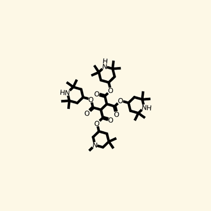 CN1CC(OC(=O)C(C(=O)OC2CC(C)(C)NC(C)(C)C2)C(C(=O)OC2CC(C)(C)NC(C)(C)C2)C(=O)OC2CC(C)(C)NC(C)(C)C2)CC(C)(C)C1